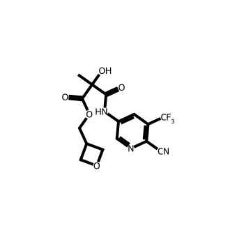 CC(O)(C(=O)Nc1cnc(C#N)c(C(F)(F)F)c1)C(=O)OCC1COC1